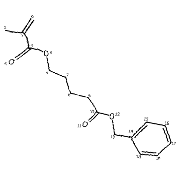 C=C(C)C(=O)OCCCCC(=O)OCc1ccccc1